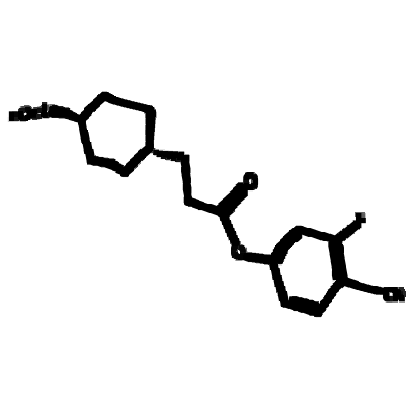 CCCCCCCC[C@H]1CC[C@H](CCC(=O)Oc2ccc(C#N)c(F)c2)CC1